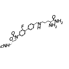 CC(=O)NC[C@H]1CN(c2ccc(-c3ccc(CNCCC[C@H](N)C(N)=O)cc3)c(F)c2)C(=O)O1